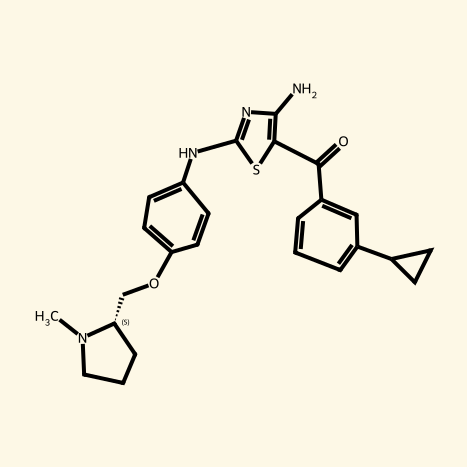 CN1CCC[C@H]1COc1ccc(Nc2nc(N)c(C(=O)c3cccc(C4CC4)c3)s2)cc1